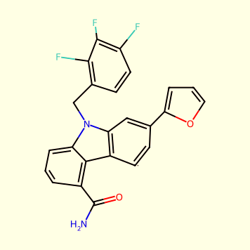 NC(=O)c1cccc2c1c1[c]cc(-c3ccco3)cc1n2Cc1ccc(F)c(F)c1F